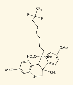 CCCCCCCCCC(CCCCCCC(F)(F)C(F)(F)F)(C(=O)O)C1c2ccc(OC)cc2SCC1(C)c1ccc(OC)cc1